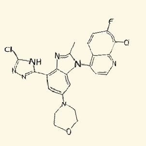 Cc1nc2c(-c3nnc(Cl)[nH]3)cc(N3CCOCC3)cc2n1-c1ccnc2c(Cl)c(F)ccc12